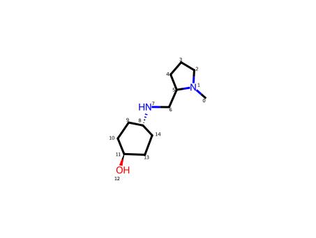 CN1CCCC1CN[C@H]1CC[C@H](O)CC1